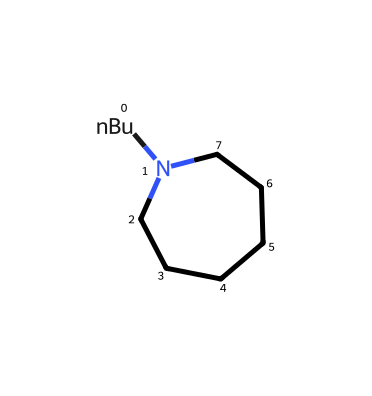 CCCCN1CCCCCC1